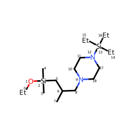 CCO[Si](C)(C)CC(C)CN1CCN([Si](CC)(CC)CC)CC1